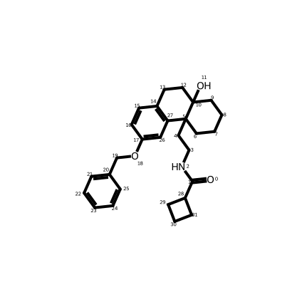 O=C(NCCC12CCCCC1(O)CCc1ccc(OCc3ccccc3)cc12)C1CCC1